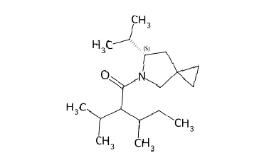 CCC(C)C(C(=O)N1CC2(CC2)C[C@H]1C(C)C)C(C)C